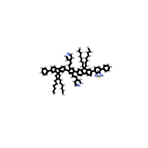 CCCCCCCCC1(CCCCCCCC)c2cc(-c3ccccc3)ccc2-c2ccc(-c3cc(/C=C/c4ccncc4)c(-c4ccc5c(c4)C(CCCCCCCC)(CCCCCCCC)c4cc(-c6ccc(-c7ccccc7)c7nsnc67)ccc4-5)cc3/C=C/c3ccncc3)cc21